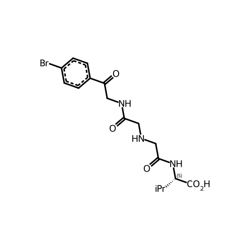 CC(C)[C@H](NC(=O)CNCC(=O)NCC(=O)c1ccc(Br)cc1)C(=O)O